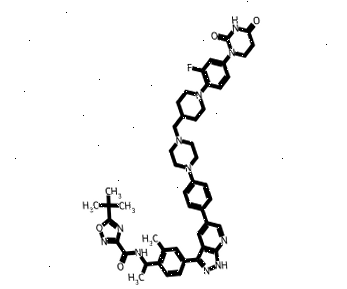 Cc1cc(-c2n[nH]c3ncc(-c4ccc(N5CCN(CC6CCN(c7ccc(N8CCC(=O)NC8=O)cc7F)CC6)CC5)cc4)cc23)ccc1C(C)NC(=O)c1noc(C(C)(C)C)n1